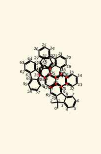 CC1(C)c2ccccc2-c2c(-c3ccccc3N(c3cccc(-c4ccccc4)c3-c3ccccc3-c3ccccc3)c3cccc4c3-c3ccccc3C43c4ccccc4-c4ccccc43)cccc21